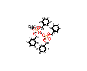 O=P([O-])(OCc1ccccc1)OCc1ccccc1.O=P([O-])(OCc1ccccc1)OCc1ccccc1.[Na+].[Na+]